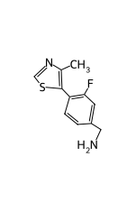 Cc1ncsc1-c1ccc(CN)cc1F